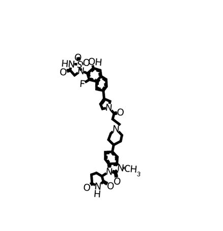 Cn1c(=O)n(C2CCC(=O)NC2=O)c2ccc(C3CCN(CCC(=O)N4CC=C(c5ccc6cc(O)c(N7CC(=O)NS7(=O)=O)c(F)c6c5)C4)CC3)cc21